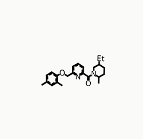 CCC1CCC(C)N(C(=O)c2cccc(COc3ccc(C)cc3C)n2)C1